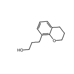 OCCCc1cccc2c1OCCC2